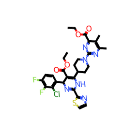 CCOC(=O)C1=C(C2CCN(c3nc(C)c(C)c(C(=O)OCC)n3)CC2)NC(c2nccs2)=NC1c1ccc(F)c(F)c1Cl